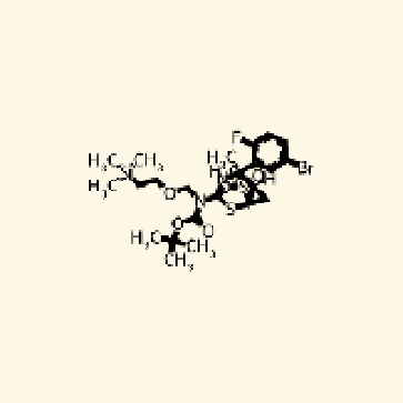 CC(C)(C)OC(=O)N(COCC[Si](C)(C)C)C1=N[C@](C)(c2cc(Br)ccc2F)[C@@H]2C[C@]2(S(C)(=O)=O)S1